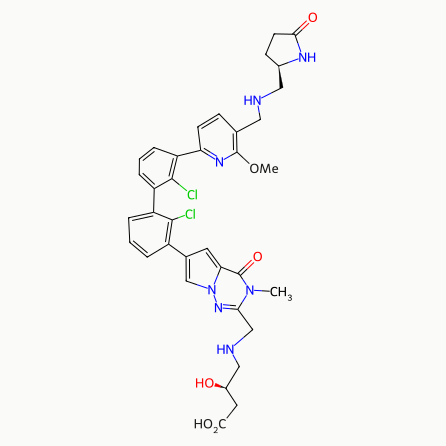 COc1nc(-c2cccc(-c3cccc(-c4cc5c(=O)n(C)c(CNC[C@H](O)CC(=O)O)nn5c4)c3Cl)c2Cl)ccc1CNC[C@H]1CCC(=O)N1